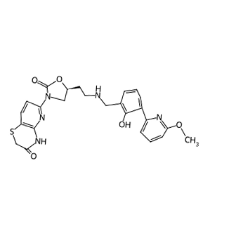 COc1cccc(-c2cccc(CNCC[C@H]3CN(c4ccc5c(n4)NC(=O)CS5)C(=O)O3)c2O)n1